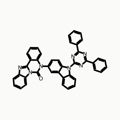 O=c1n(-c2ccc3c(c2)c2ccccc2n3-c2nc(-c3ccccc3)nc(-c3ccccc3)n2)c2ccccc2c2nc3ccccc3n12